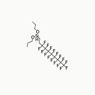 CCCO[SiH](CCC(F)(F)C(F)(F)C(F)(F)C(F)(F)C(F)(F)C(F)(F)C(F)(F)C(F)(F)F)OCCC